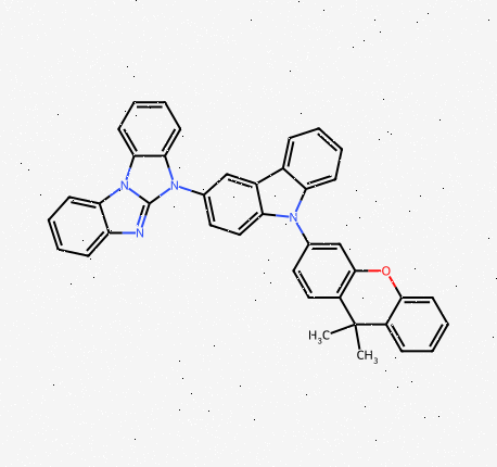 CC1(C)c2ccccc2Oc2cc(-n3c4ccccc4c4cc(-n5c6ccccc6n6c7ccccc7nc56)ccc43)ccc21